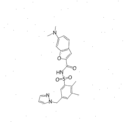 Cc1cc(Cn2cccn2)cc(S(=O)(=O)NC(=O)c2cc3ccc(N(C)C)cc3o2)c1C